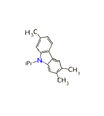 Cc1ccc2c3cc(C)c(C)cc3n(C(C)C)c2c1